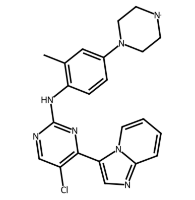 Cc1cc(N2CC[N]CC2)ccc1Nc1ncc(Cl)c(-c2cnc3ccccn23)n1